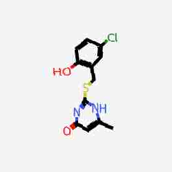 Cc1cc(=O)nc(SCc2cc(Cl)ccc2O)[nH]1